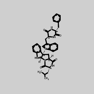 CC(C)C[C@H]1NC(=O)[C@@H]2C[C@]3(n4cc(C[C@@H]5NC(=O)[C@@H](Cc6ccccc6)NC5=O)c5ccccc54)c4ccccc4N[C@@H]3N2C1=O